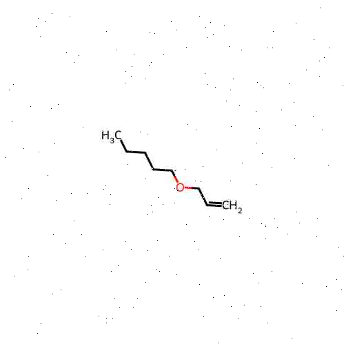 C=CCO[CH]CCCC